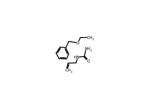 C=CCNC(N)=O.CCOCc1ccccc1